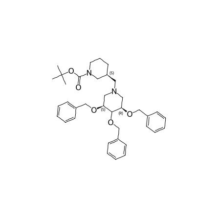 CC(C)(C)OC(=O)N1CCC[C@@H](CN2C[C@H](OCc3ccccc3)C(OCc3ccccc3)[C@H](OCc3ccccc3)C2)C1